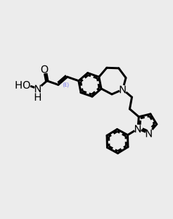 O=C(/C=C/c1ccc2c(c1)CCCN(CCc1ccnn1-c1ccccc1)C2)NO